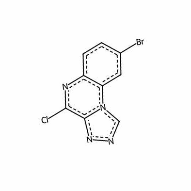 Clc1nc2ccc(Br)cc2n2cnnc12